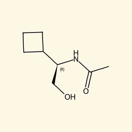 CC(=O)N[C@@H](CO)C1CCC1